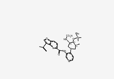 C=C(C)c1coc2ccc(C(=O)Nc3cnccc3N3C[C@H](C)[C@H](O[Si](C)(C)C(C)(C)C)[C@H](NC(=O)O)C3)nc12